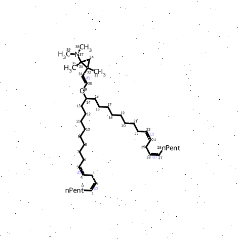 CCCCC/C=C\C/C=C\CCCCCCCCC(CCCCCCCC/C=C\C/C=C\CCCCC)O/C=C/C1(C)CC1(C)N(C)C